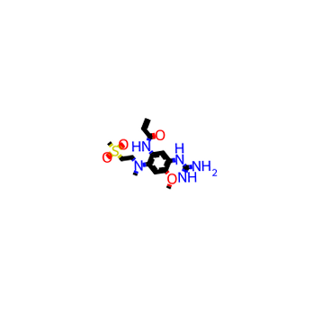 C=CC(=O)Nc1cc(NC(=N)N)c(OC)cc1N(C)CCS(C)(=O)=O